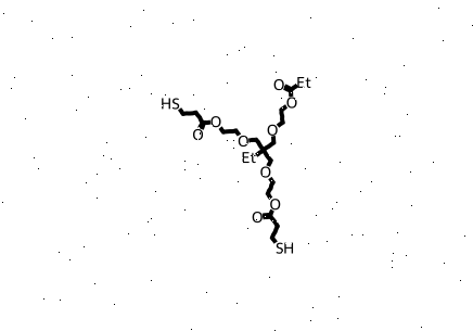 CCC(=O)OCCOCC(CC)(COCCOC(=O)CCS)COCCOC(=O)CCS